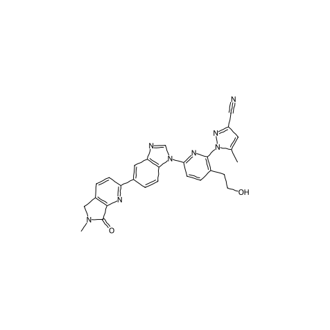 Cc1cc(C#N)nn1-c1nc(-n2cnc3cc(-c4ccc5c(n4)C(=O)N(C)C5)ccc32)ccc1CCO